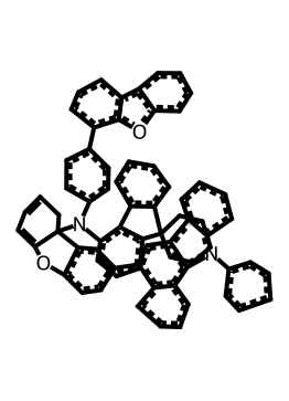 C1=CCC2(N(c3ccc(-c4cccc5c4oc4ccccc45)cc3)c3cccc4c3-c3ccccc3C43CCCCC3)C(=C1)Oc1ccc(-c3cc4c5ccccc5n(-c5ccccc5)c4c4ccccc34)cc12